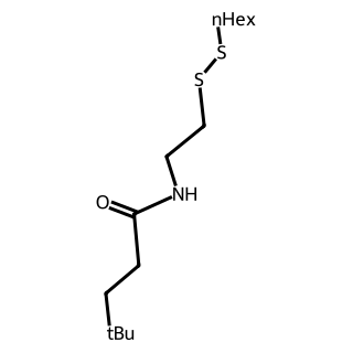 CCCCCCSSCCNC(=O)CCC(C)(C)C